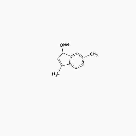 COC1C=C(C)c2ccc(C)cc21